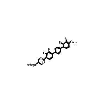 CCCCCCCC1COC(c2ccc(-c3ccc(-c4ccc(OCC)c(F)c4F)cc3)c(F)c2F)OC1